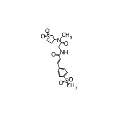 CN(C(=O)CNC(=O)/C=C/c1ccc(S(C)(=O)=O)cc1)C1CCS(=O)(=O)C1